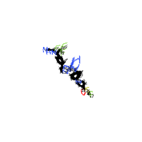 N#CCNC(c1ccc(-c2ccnc(Nc3ccc(N4CCC(C(=O)SCF)CC4)cc3)n2)cc1)C(F)(F)F